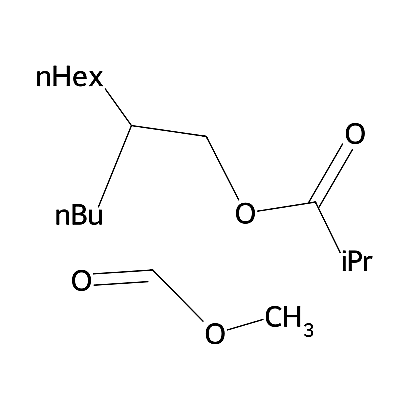 CCCCCCC(CCCC)COC(=O)C(C)C.COC=O